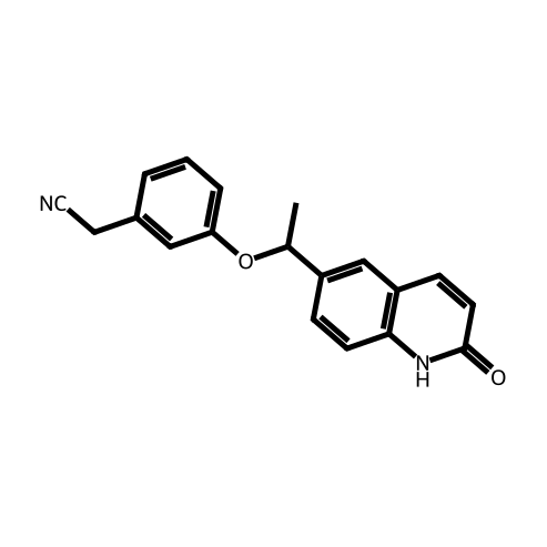 CC(Oc1cccc(CC#N)c1)c1ccc2[nH]c(=O)ccc2c1